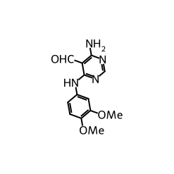 COc1ccc(Nc2ncnc(N)c2C=O)cc1OC